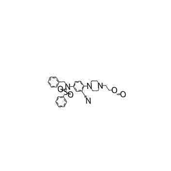 N#Cc1cc(N(Cc2ccccc2)S(=O)(=O)c2ccccc2)ccc1N1CCN(CCOC=O)CC1